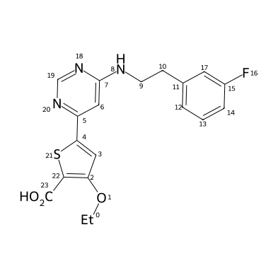 CCOc1cc(-c2cc(NCCc3cccc(F)c3)ncn2)sc1C(=O)O